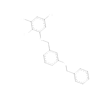 Oc1c(Cl)cc(Cl)cc1NCc1cccc(OCc2ccccc2)c1